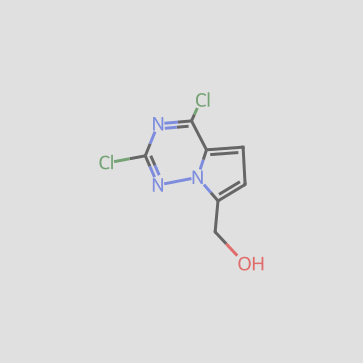 OCc1ccc2c(Cl)nc(Cl)nn12